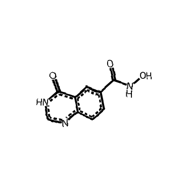 O=C(NO)c1ccc2nc[nH]c(=O)c2c1